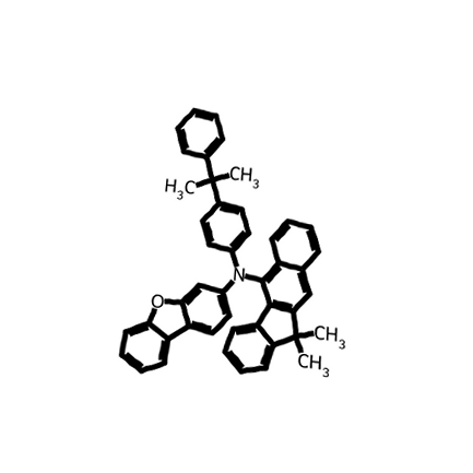 CC(C)(c1ccccc1)c1ccc(N(c2ccc3c(c2)oc2ccccc23)c2c3c(cc4ccccc24)C(C)(C)c2ccccc2-3)cc1